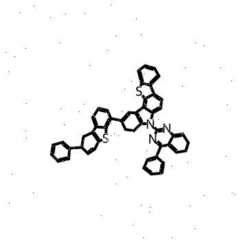 C1=CC(c2ccccc2)Cc2c1sc1c(C3=Cc4c(n(-c5nc(-c6ccccc6)c6c(n5)=CCCC=6)c5ccc6c7ccccc7sc6c45)CC3)cccc21